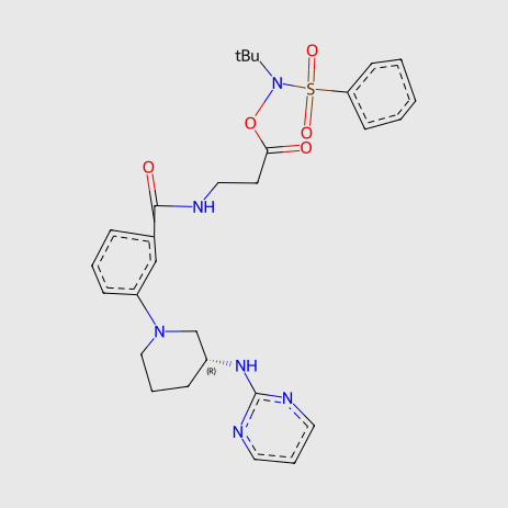 CC(C)(C)N(OC(=O)CCNC(=O)c1cccc(N2CCC[C@@H](Nc3ncccn3)C2)c1)S(=O)(=O)c1ccccc1